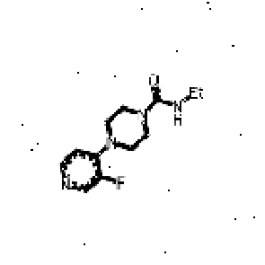 CCNC(=O)N1CCN(c2ccncc2F)CC1